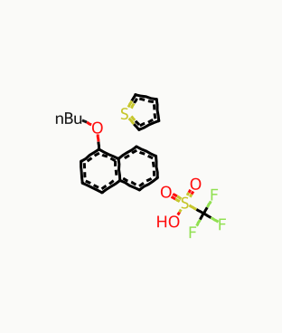 CCCCOc1cccc2ccccc12.O=S(=O)(O)C(F)(F)F.c1ccsc1